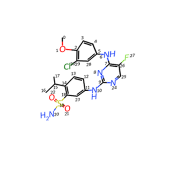 COc1ccc(Nc2nc(Nc3ccc(C(C)C)c(S(N)(=O)=O)c3)ncc2F)cc1Cl